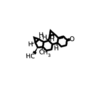 C#C[C@H]1[C@H]2C[C@H]2C2[C@H]3C(CC[C@@]21C)[C@H]1CCC(=O)C=C1[C@@H]1C[C@H]31